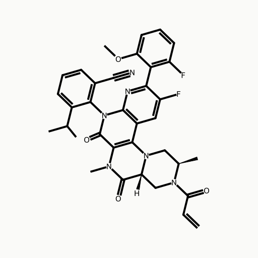 C=CC(=O)N1C[C@@H]2C(=O)N(C)c3c(c4cc(F)c(-c5c(F)cccc5OC)nc4n(-c4c(C#N)cccc4C(C)C)c3=O)N2C[C@H]1C